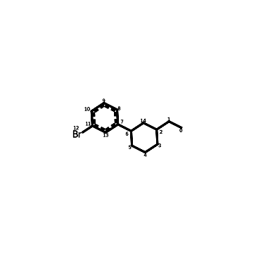 CCC1CCCC(c2cccc(Br)c2)C1